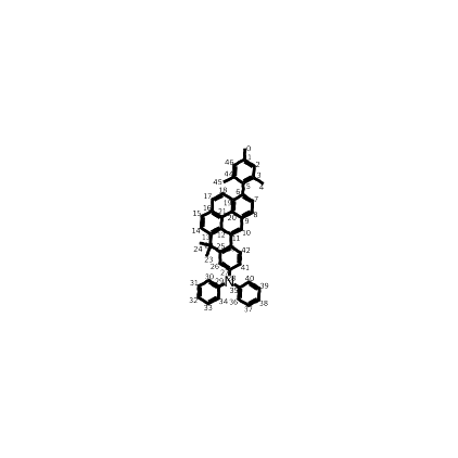 Cc1cc(C)c(-c2ccc3cc4c5c(ccc6ccc2c3c65)C(C)(C)c2cc(N(c3ccccc3)c3ccccc3)ccc2-4)c(C)c1